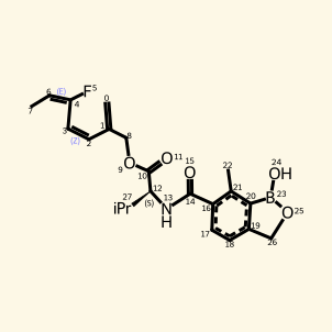 C=C(/C=C\C(F)=C/C)COC(=O)[C@@H](NC(=O)c1ccc2c(c1C)B(O)OC2)C(C)C